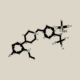 CCOc1cc(F)ccc1C1CCN(Cc2ccc([C@H](NS(C)(=O)=O)C(F)(F)F)cc2)CC1